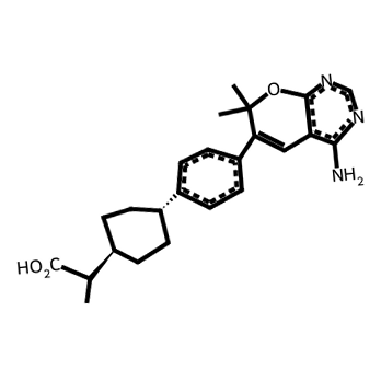 CC(C(=O)O)[C@H]1CC[C@H](c2ccc(C3=Cc4c(N)ncnc4OC3(C)C)cc2)CC1